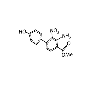 COC(=O)c1ccc(-c2ccc(O)cc2)c([N+](=O)[O-])c1N